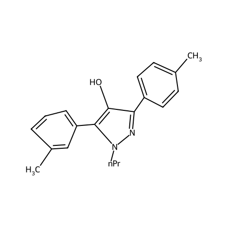 CCCn1nc(-c2ccc(C)cc2)c(O)c1-c1cccc(C)c1